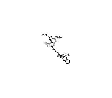 COC(=O)[C@@H]1C[C@H](OC)CN1C(=O)[C@@H](NC(=O)OCCCCC=CC1C=c2ccccc2=CC1(C)OC)C(C)(C)C